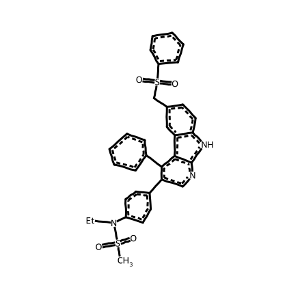 CCN(c1ccc(-c2cnc3[nH]c4ccc(CS(=O)(=O)c5ccccc5)cc4c3c2-c2ccccc2)cc1)S(C)(=O)=O